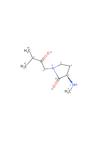 CN[C@@H]1CCN(CC(=O)C(C)C)C1=O